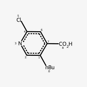 CCCCc1cnc(Cl)cc1C(=O)O